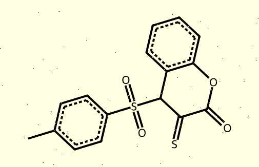 Cc1ccc(S(=O)(=O)C2C(=S)C(=O)Oc3ccccc32)cc1